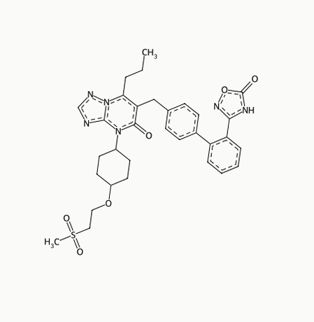 CCCc1c(Cc2ccc(-c3ccccc3-c3noc(=O)[nH]3)cc2)c(=O)n(C2CCC(OCCS(C)(=O)=O)CC2)c2ncnn12